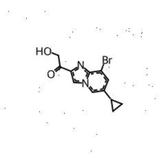 O=C(CO)c1cn2cc(C3CC3)cc(Br)c2n1